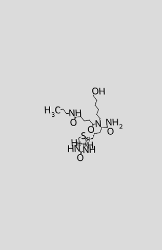 CCCNC(=O)CCCC(=O)N(CCCCCCO)C(CCC[C@@H]1SC[C@@H]2NC(=O)N[C@@H]21)C(N)=O